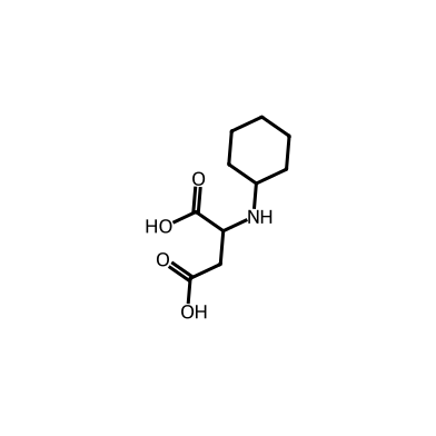 O=C(O)CC(NC1CCCCC1)C(=O)O